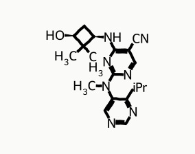 CC(C)c1ncncc1N(C)c1ncc(C#N)c(N[C@@H]2C[C@H](O)C2(C)C)n1